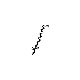 O=CCCOCCOCCCCNC(=O)CI